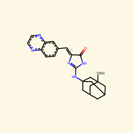 COC12CC3CC(CC(NC4=N/C(=C\c5ccc6nccnc6c5)C(=O)N4)(C3)C1)C2